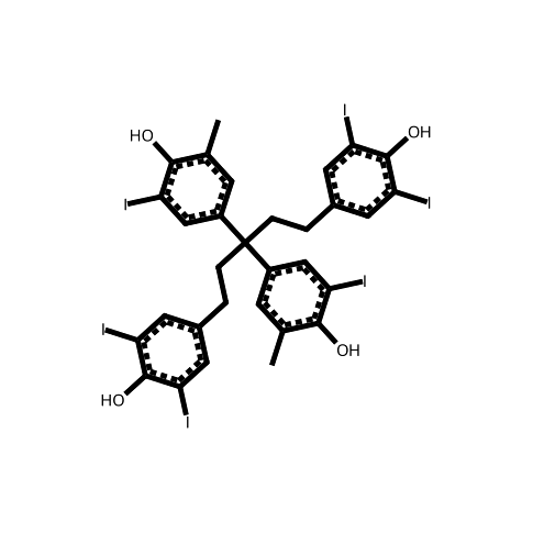 Cc1cc(C(CCc2cc(I)c(O)c(I)c2)(CCc2cc(I)c(O)c(I)c2)c2cc(C)c(O)c(I)c2)cc(I)c1O